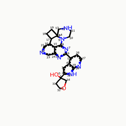 OC1(c2cc3c(-c4nc(N5CCNCC5)c5c(C6CCC6)cncc5n4)ccnc3[nH]2)CCOC1